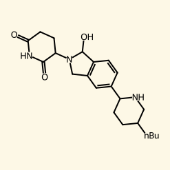 CCCCC1CCC(c2ccc3c(c2)CN(C2CCC(=O)NC2=O)C3O)NC1